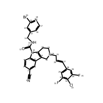 N#Cc1ccc2c(c1)c1c(n2C(=O)NCc2ccnc(Br)c2)CCN(CC=Cc2cc(F)c(Cl)c(F)c2)C1